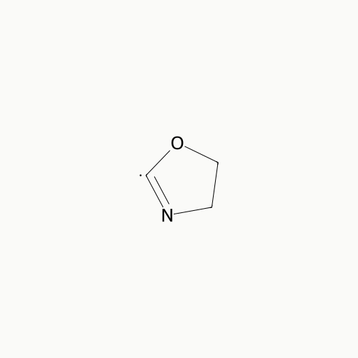 [C]1=NCCO1